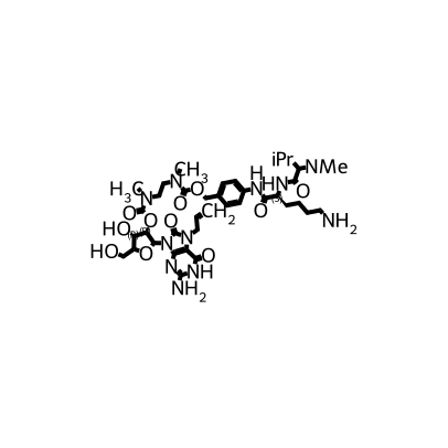 C=CCn1c(=O)n(C2OC(CO)[C@@H](O)[C@H]2OC(=O)N(C)CCN(C)C(=O)OCc2ccc(NC(=O)[C@H](CCCCN)NC(=O)C(NC)C(C)C)cc2)c2nc(N)[nH]c(=O)c21